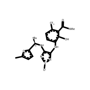 CNC(=O)c1c(C(F)(F)F)ccc(Nc2n[s+]([O-])nc2N[C@@H](c2ccc(C)o2)C(C)(C)C)c1O